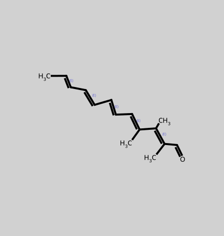 C/C=C/C=C/C=C/C=C(C)/C(C)=C(\C)C=O